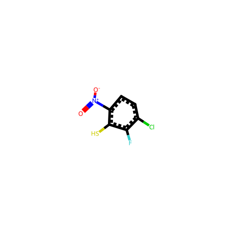 O=[N+]([O-])c1ccc(Cl)c(F)c1S